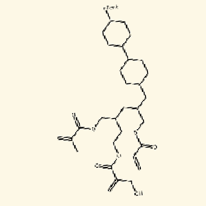 C=CC(=O)OCC(CC1CCC(C2CCC(CCCCC)CC2)CC1)CC(CCOC(=O)C(=C)CO)COC(=O)C(=C)C